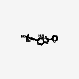 CC(C)(C)C(C)(O)C#CC1=C[N+]2(N)N=C(c3ccco3)N=C2C=N1